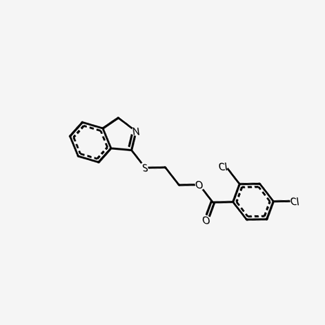 O=C(OCCSC1=NCc2ccccc21)c1ccc(Cl)cc1Cl